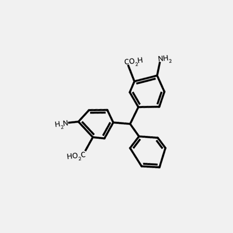 Nc1ccc(C(c2ccccc2)c2ccc(N)c(C(=O)O)c2)cc1C(=O)O